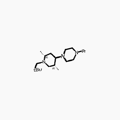 CC(C)N1CCN(C2C[C@@H](C)N(CC(C)(C)C)C[C@H]2C)CC1